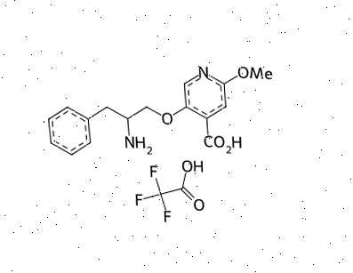 COc1cc(C(=O)O)c(OCC(N)Cc2ccccc2)cn1.O=C(O)C(F)(F)F